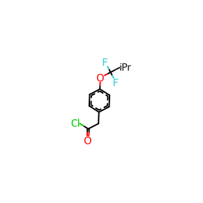 CC(C)C(F)(F)Oc1ccc(CC(=O)Cl)cc1